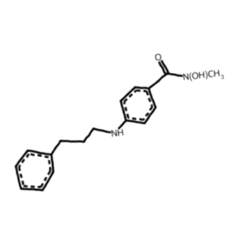 CN(O)C(=O)c1ccc(NCCCc2ccccc2)cc1